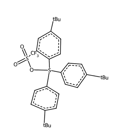 CC(C)(C)c1ccc(S(OS(=O)(=O)C(F)(F)F)(c2ccc(C(C)(C)C)cc2)c2ccc(C(C)(C)C)cc2)cc1